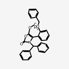 COc1oc(=O)n(C(c2ccccc2)c2ccccc2)c1-c1ccccc1OCc1ccccc1